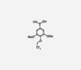 COc1cc(B(O)O)cc(OC)c1OCC(F)(F)F